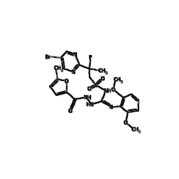 COc1cccc(OC)c1/N=C(/NNC(=O)c1ccc(C)o1)NS(=O)(=O)CC(C)(F)c1ncc(Br)cn1